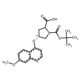 COc1ccc2c(O[C@@H]3CC(C(=O)O)N(C(=O)OC(C)(C)C)C3)ccnc2c1